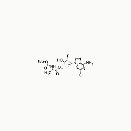 CC(NC(=O)OC(C)(C)C)C(=O)OC[C@H]1O[C@@H](n2cnc3c(N)nc(Cl)nc32)[C@@H](F)[C@@H]1O